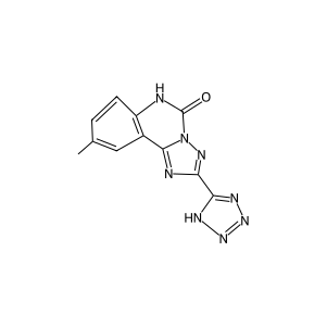 Cc1ccc2[nH]c(=O)n3nc(-c4nnn[nH]4)nc3c2c1